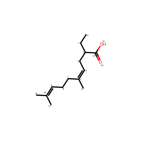 CCC(C/C=C(/C)CCC=C(C)C)C(=O)O